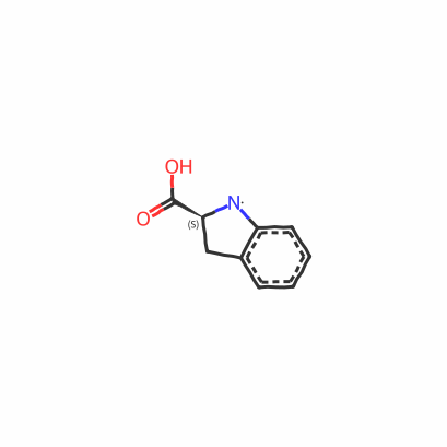 O=C(O)[C@@H]1Cc2ccccc2[N]1